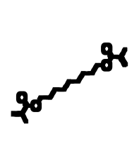 C=C(C)C(=O)OCCCCCCCCCOC(=O)C(=C)C